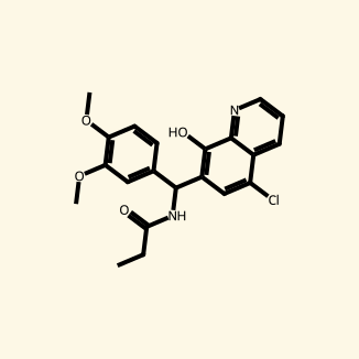 CCC(=O)NC(c1ccc(OC)c(OC)c1)c1cc(Cl)c2cccnc2c1O